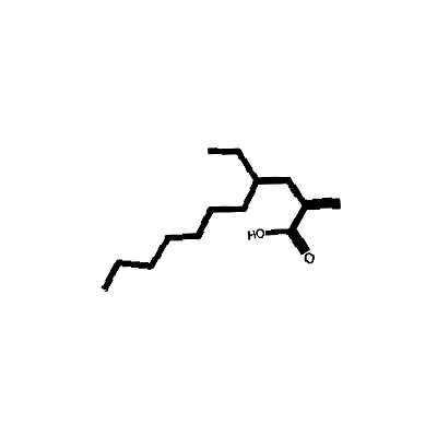 C=C(CC(CC)CCCCCCC)C(=O)O